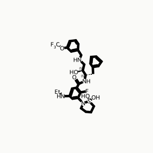 CCNc1cc(C(=O)N[C@@H](Cc2ccccc2)[C@@H](O)CNCc2cccc(OC(F)(F)F)c2)c(F)c(N2CCCCS2(O)O)c1